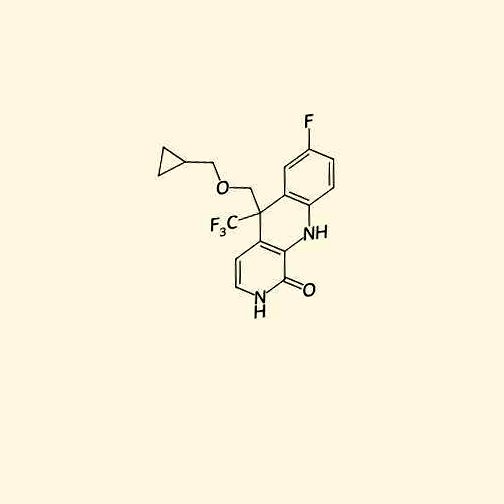 O=c1[nH]ccc2c1Nc1ccc(F)cc1C2(COCC1CC1)C(F)(F)F